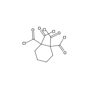 O=C(Cl)C1(C(=O)Cl)CCCCC1(C(=O)Cl)C(=O)Cl